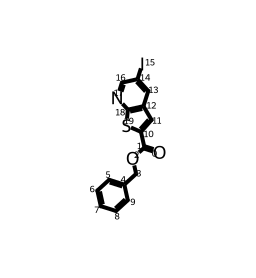 O=C(OCc1ccccc1)c1cc2cc(I)cnc2s1